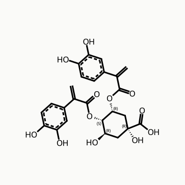 C=C(C(=O)O[C@H]1[C@H](O)C[C@](O)(C(=O)O)C[C@H]1OC(=O)C(=C)c1ccc(O)c(O)c1)c1ccc(O)c(O)c1